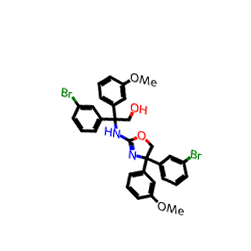 COc1cccc(C2(c3cccc(Br)c3)COC(NC(CO)(c3cccc(Br)c3)c3cccc(OC)c3)=N2)c1